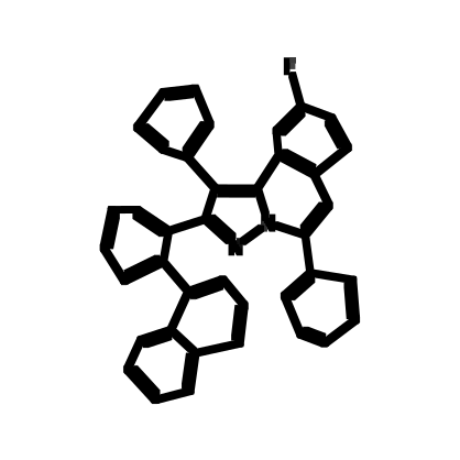 Fc1ccc2cc(-c3ccccc3)n3nc(-c4ccccc4-c4cccc5ccccc45)c(-c4ccccc4)c3c2c1